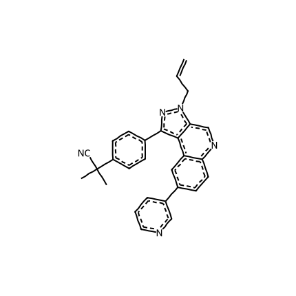 C=CCn1nc(-c2ccc(C(C)(C)C#N)cc2)c2c3cc(-c4cccnc4)ccc3ncc21